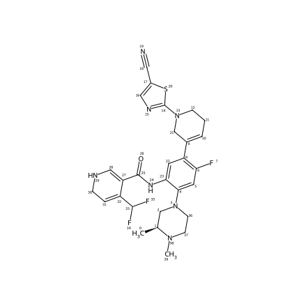 C[C@H]1CN(c2cc(F)c(C3=CCCN(c4ncc(C#N)s4)C3)cc2NC(=O)C2=CNCC=C2C(F)F)CCN1C